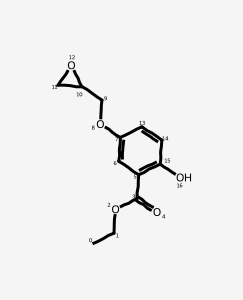 CCOC(=O)c1cc(OCC2CO2)ccc1O